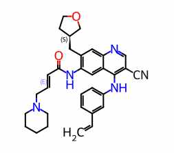 C=Cc1cccc(Nc2c(C#N)cnc3cc(C[C@H]4CCOC4)c(NC(=O)/C=C/CN4CCCCC4)cc23)c1